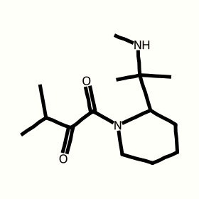 CNC(C)(C)C1CCCCN1C(=O)C(=O)C(C)C